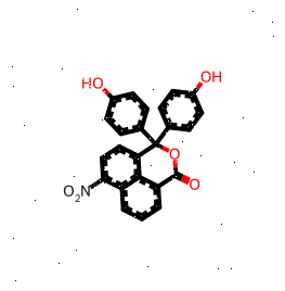 O=C1OC(c2ccc(O)cc2)(c2ccc(O)cc2)c2ccc([N+](=O)[O-])c3cccc1c23